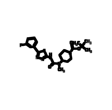 CN(C(=O)Nc1nnc(-c2cccc(F)c2)s1)C1CCN(C(=O)OC(C)(C)C)CC1